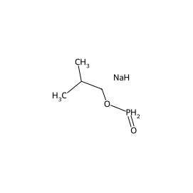 CC(C)CO[PH2]=O.[NaH]